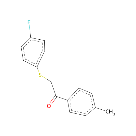 Cc1ccc(C(=O)CSc2ccc(F)cc2)cc1